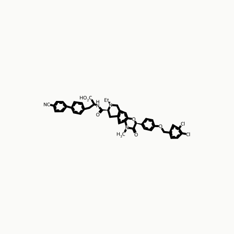 CCN1Cc2cc3c(cc2C[C@H]1C(=O)NC(Cc1ccc(-c2ccc(C#N)cc2)cc1)C(=O)O)N(C)C(=O)[C@H](c1ccc(OCc2ccc(Cl)c(Cl)c2)cc1)O3